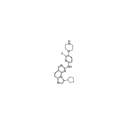 Fc1nc(Nc2ncc3ccc4ncc(C5CCCC5)n4c3n2)ccc1N1CCNCC1